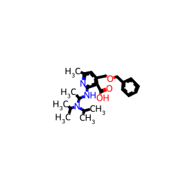 Cc1cc(COCc2ccccc2)c(C(=O)O)c(NC(C)N(C(C)C)C(C)C)n1